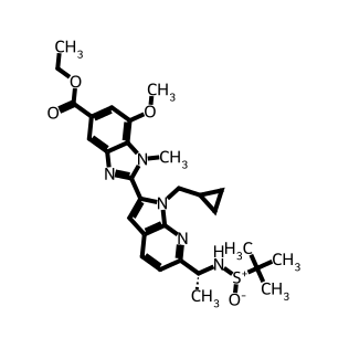 CCOC(=O)c1cc(OC)c2c(c1)nc(-c1cc3ccc([C@@H](C)N[S+]([O-])C(C)(C)C)nc3n1CC1CC1)n2C